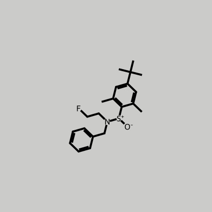 Cc1cc(C(C)(C)C)cc(C)c1[S+]([O-])N(CCF)Cc1ccccc1